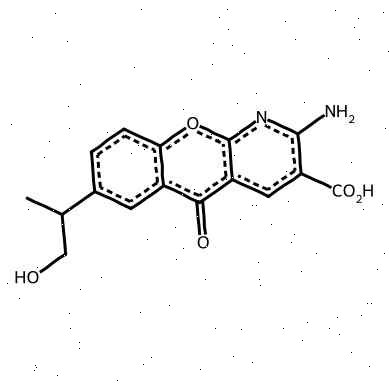 CC(CO)c1ccc2oc3nc(N)c(C(=O)O)cc3c(=O)c2c1